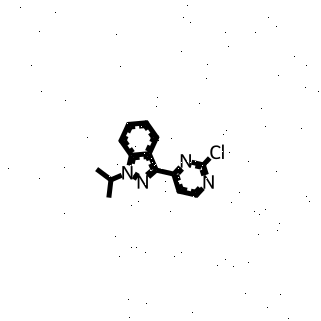 CC(C)n1nc(-c2ccnc(Cl)n2)c2ccccc21